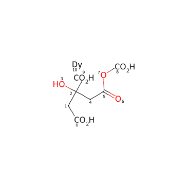 O=C(O)CC(O)(CC(=O)OC(=O)O)C(=O)O.[Dy]